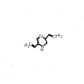 C=CC1COC(C=C)CN1